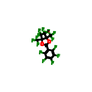 Fc1c(F)c(F)c(B2OC(C(F)(F)F)(C(F)(F)F)C(C(F)(F)F)(C(F)(F)F)O2)c(F)c1F